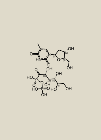 Cc1cn([C@H]2C[C@H](O)[C@@H](CO)O2)c(=O)[nH]c1=O.O=C([C@H](O)[C@@H](O)[C@H](O)[C@H](O)CO)P(=O)(O)OP(=O)(O)O